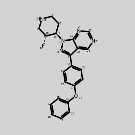 F[C@@H]1CNCC[C@H]1n1nc(-c2ccc(Oc3ccccc3)cc2)c2cncnc21